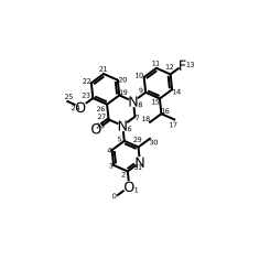 COc1ccc(N2CN(c3ccc(F)cc3C(C)C)c3cccc(OC)c3C2=O)c(C)n1